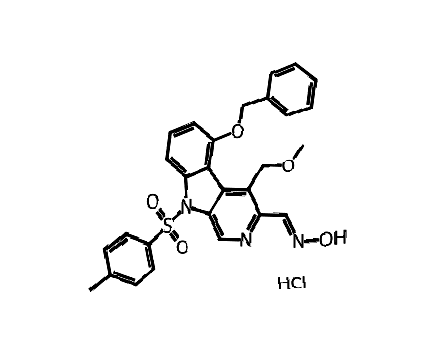 COCc1c(C=NO)ncc2c1c1c(OCc3ccccc3)cccc1n2S(=O)(=O)c1ccc(C)cc1.Cl